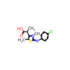 Cc1sc(=Nc2ccc(Cl)cc2)n(C)c1C(C)C(=O)O